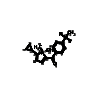 CC(F)(F)c1ccc(C(=O)C2=CC=C(C3CC3)[N+]2(C)O)cc1